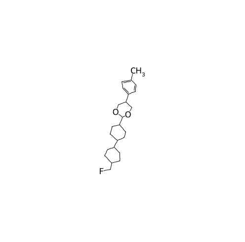 Cc1ccc(C2COC(C3CCC(C4CCC(CF)CC4)CC3)OC2)cc1